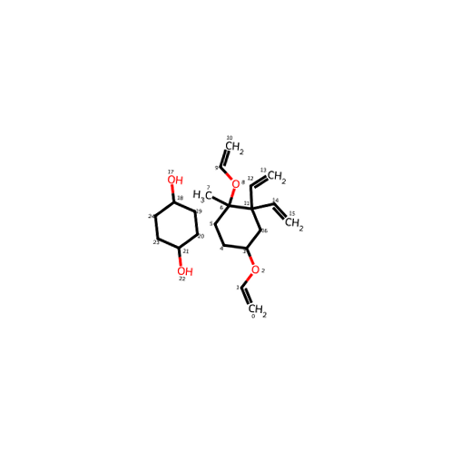 C=COC1CCC(C)(OC=C)C(C=C)(C=C)C1.OC1CCC(O)CC1